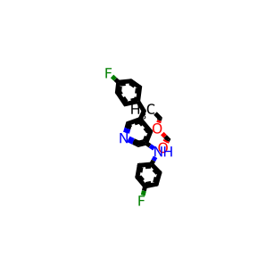 CCOC=O.Fc1ccc(Cc2cncc(Nc3ccc(F)cc3)c2)cc1